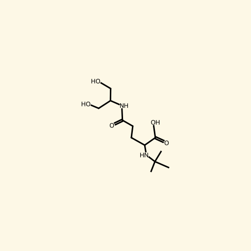 CC(C)(C)NC(CCC(=O)NC(CO)CO)C(=O)O